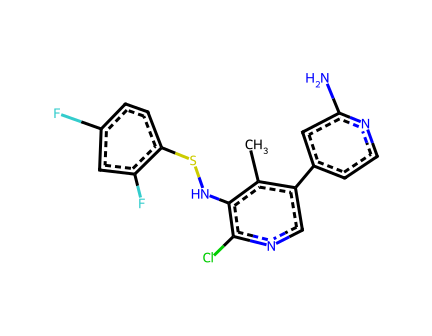 Cc1c(-c2ccnc(N)c2)cnc(Cl)c1NSc1ccc(F)cc1F